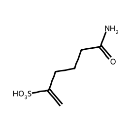 C=C(CCCC(N)=O)S(=O)(=O)O